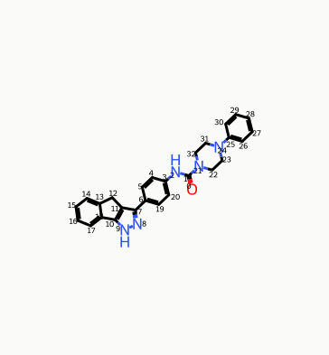 O=C(Nc1ccc(-c2n[nH]c3c2Cc2ccccc2-3)cc1)N1CCN(c2ccccc2)CC1